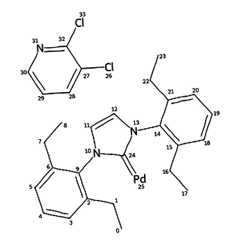 CCc1cccc(CC)c1-n1ccn(-c2c(CC)cccc2CC)[c]1=[Pd].Clc1cccnc1Cl